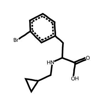 O=C(O)C(Cc1cccc(Br)c1)NCC1CC1